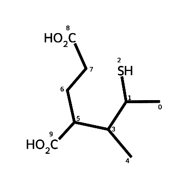 CC(S)C(C)C(CCC(=O)O)C(=O)O